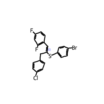 Fc1ccc(/C=C(\Cc2ccc(Cl)cc2)Sc2ccc(Br)cc2)c(F)c1